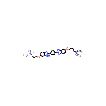 CN(C)C/C=C\COc1ccc2nc(-c3ccc(-c4nc5ccc(OC/C=C\CN(C)C)cc5[nH]4)cc3)[nH]c2c1